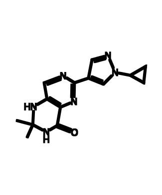 CC1(C)NC(=O)c2nc(-c3cnn(C4CC4)c3)ncc2N1